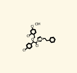 Cl.Clc1ccc(C(OCc2ccc(Cl)cc2Cl)C(Cl)N2C=CN(CCc3ccccc3)C2)cc1